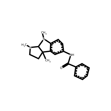 CN1CCC2(C)c3cc(NC(=O)c4ccccc4)ccc3N(C)C12